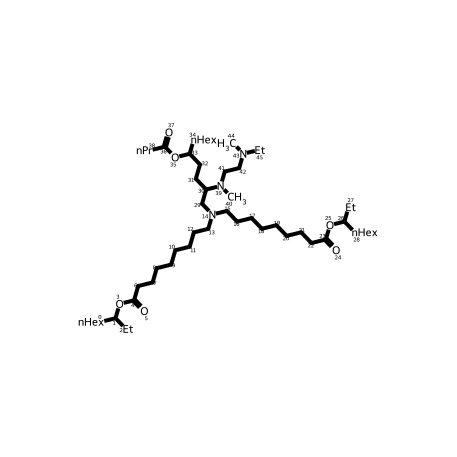 CCCCCCC(CC)OC(=O)CCCCCCCCN(CCCCCCCCC(=O)OC(CC)CCCCCC)CC(CCC(CCCCCC)OC(=O)CCC)N(C)CCN(C)CC